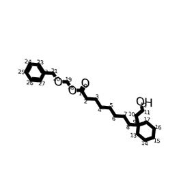 O=C(CCCCCCCC1(CCO)CCCCC1)OCOCc1ccccc1